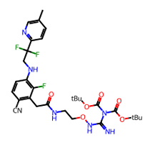 Cc1ccc(C(F)(F)CNc2ccc(C#N)c(CC(=O)NCCONC(=N)N(C(=O)OC(C)(C)C)C(=O)OC(C)(C)C)c2F)nc1